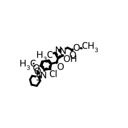 CCOC(=O)Cn1nc(C)c(C(=O)c2ccc(OC)c(N=S3(=O)CCCCC3)c2Cl)c1O